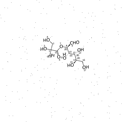 CCCC(O)(CO)C(=O)O[C@@H](C=O)[C@@H](O)[C@H](O)[C@H](O)CO